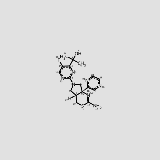 CC(C)(O)c1nc(N2C[C@H]3CSC(N)=N[C@@]3(c3cnccn3)C2)ncc1F